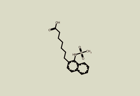 CS(=O)(=O)Nc1c(CCCCCCC(=O)O)ccc2ccccc12